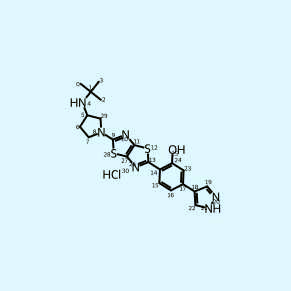 CC(C)(C)NC1CCN(c2nc3sc(-c4ccc(-c5cn[nH]c5)cc4O)nc3s2)C1.Cl